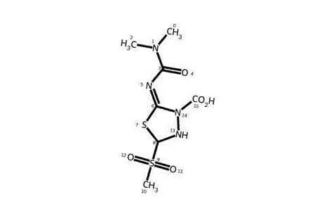 CN(C)C(=O)N=C1SC(S(C)(=O)=O)NN1C(=O)O